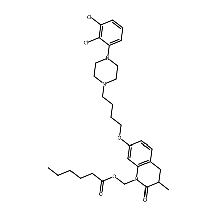 CCCCCC(=O)OCN1C(=O)C(C)Cc2ccc(OCCCCN3CCN(c4cccc(Cl)c4Cl)CC3)cc21